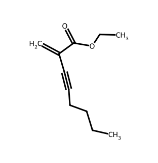 C=C(C#CCCCC)C(=O)OCC